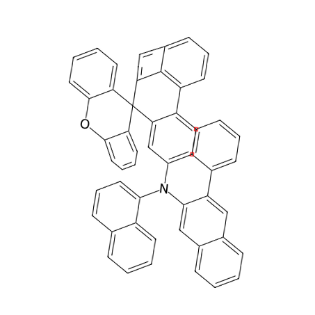 c1ccc(-c2cc3ccccc3cc2N(c2ccc3c(c2)C2(c4ccccc4Oc4ccccc42)c2cccc4cccc-3c24)c2cccc3ccccc23)cc1